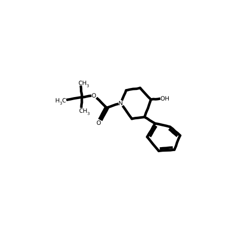 CC(C)(C)OC(=O)N1CCC(O)C(c2ccccc2)C1